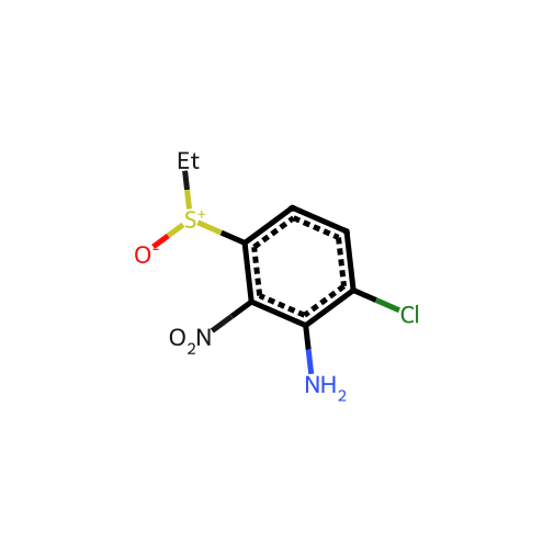 CC[S+]([O-])c1ccc(Cl)c(N)c1[N+](=O)[O-]